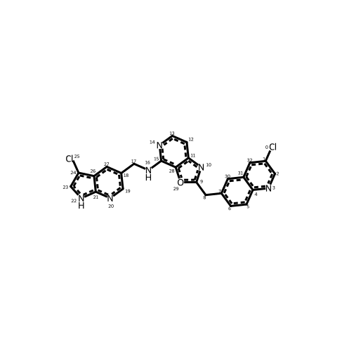 Clc1cnc2ccc(Cc3nc4ccnc(NCc5cnc6[nH]cc(Cl)c6c5)c4o3)cc2c1